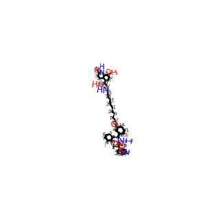 O=C(NC(c1cccc(F)c1)c1cccc(OCCCCCCCCCNC[C@@H](O)c2ccc(O)c3[nH]c(=O)ccc23)c1)O[C@H]1CN2CCC1CC2